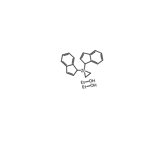 C1=C[CH]([Zr]2([CH]3C=Cc4ccccc43)[CH2][CH2]2)c2ccccc21.CCO.CCO